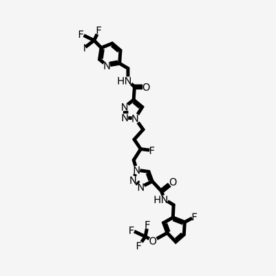 O=C(NCc1ccc(C(F)(F)I)cn1)c1cn(CCC(F)Cn2cc(C(=O)NCc3cc(OC(F)(F)F)ccc3F)nn2)nn1